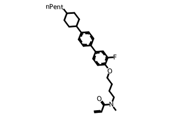 C=CC(=O)N(C)CCCCOc1ccc(-c2ccc(C3CCC(CCCCC)CC3)cc2)cc1F